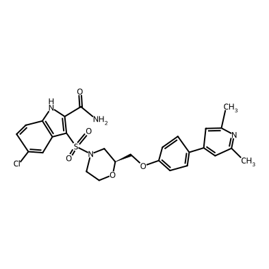 Cc1cc(-c2ccc(OC[C@@H]3CN(S(=O)(=O)c4c(C(N)=O)[nH]c5ccc(Cl)cc45)CCO3)cc2)cc(C)n1